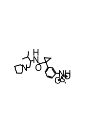 CC(C)C(CN1CCCC1)NC(=O)C1(c2cccc(NS(C)(=O)=O)c2)CC1